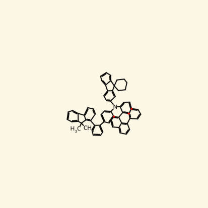 CC1(C)c2ccccc2-c2cccc(-c3ccccc3-c3ccc(N(c4ccc5c(c4)C4(CCCCC4)c4ccccc4-5)c4ccccc4-c4cccc5cccc(-c6ccccc6)c45)cc3)c21